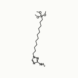 CO[Si](CCCCCCCCCCCCn1cnc(N)n1)(OC)OC